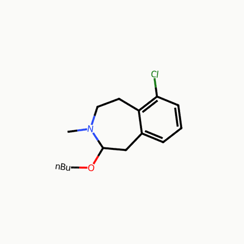 CCCCOC1Cc2cccc(Cl)c2CCN1C